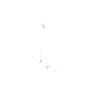 CCCCCCCC/C=C\CCCCCCCC(=O)OC(=O)CC[C@H](N)C(=O)[O-].[K+]